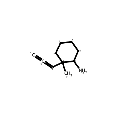 CC1(C=C=O)CCCCC1N